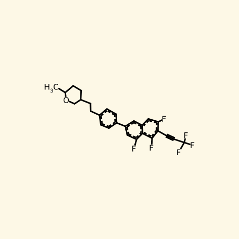 CC1CCC(CCc2ccc(-c3cc(F)c4c(F)c(C#CC(F)(F)F)c(F)cc4c3)cc2)CO1